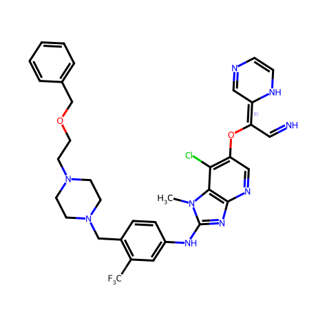 Cn1c(Nc2ccc(CN3CCN(CCOCc4ccccc4)CC3)c(C(F)(F)F)c2)nc2ncc(O/C(C=N)=C3\C=NC=CN3)c(Cl)c21